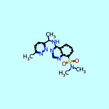 Cc1ccc(C(C)Nc2ncnc3c(S(=O)(=O)N(C)C)cccc23)nn1